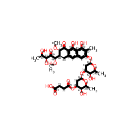 CO[C@@H]1C(=O)c2c(cc3cc(O[C@H]4CC(O[C@H]5CC(OC(=O)CCC(=O)O)[C@H](O)C(C)O5)[C@H](O)C(C)O4)c(C)c(O)c3c2O)C[C@H]1[C@H](OC)C(=O)[C@@H](O)[C@@H](C)O